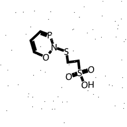 O=S(=O)(O)CCSN1OC=CC=P1